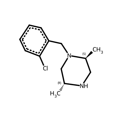 C[C@@H]1CN(Cc2ccccc2Cl)[C@@H](C)CN1